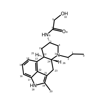 CCCN1C[C@@H](NC(=O)CO)C[C@@H]2c3cccc4[nH]c(C)c(c34)C[C@H]21